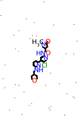 CN1CC(C(=O)Nc2cc(-c3cccc(NCC4CCOCC4)n3)c(Cl)cn2)CC1=O